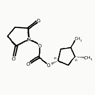 CC1C[C@@H](OC(=O)ON2C(=O)CCC2=O)C[C@H]1C